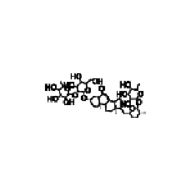 CC1OC(OC2C(O[C@H]3CC[C@@]4(C)C(C3)C(=O)C=C3C4CC[C@]4(C)C(CC5CC[C@@H](C)C(OC6OC(C)C(O)C(O)C6O)O5)CCC34)OC(CO)C(O)C2O)C(O)C(O)C1O